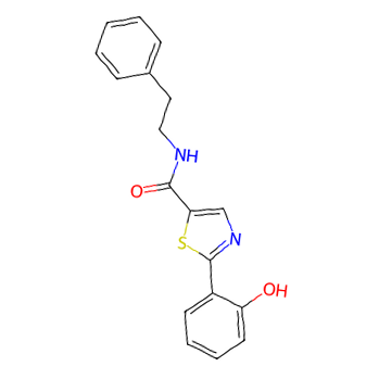 O=C(NCCc1ccccc1)c1cnc(-c2ccccc2O)s1